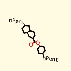 CCCCCC1CCC(OC(=O)C2CCC3CC(CCCCC)CCC3C2)CC1